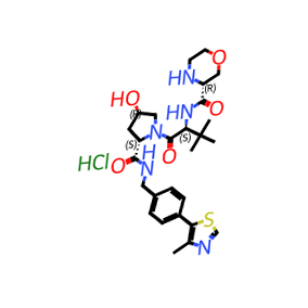 Cc1ncsc1-c1ccc(CNC(=O)[C@@H]2C[C@@H](O)CN2C(=O)[C@@H](NC(=O)[C@H]2COCCN2)C(C)(C)C)cc1.Cl